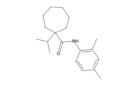 Cc1ccc(NC(=O)C2(C(C)C)CCCCCC2)c(C)c1